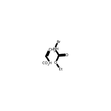 C=CC(=O)O.CCOC(=O)NBr